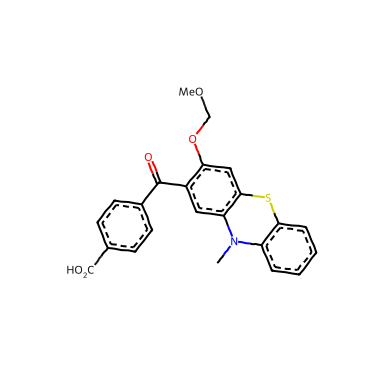 COCOc1cc2c(cc1C(=O)c1ccc(C(=O)O)cc1)N(C)c1ccccc1S2